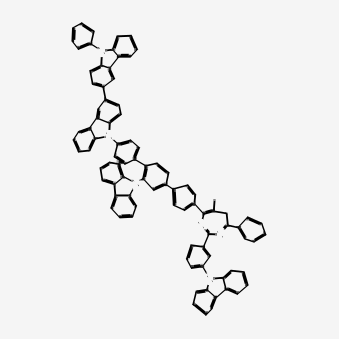 CCC1=C(c2ccc(-c3ccc(-c4ccc(-n5c6ccccc6c6cc(-c7ccc8c(c7)c7ccccc7n8-c7ccccc7)ccc65)cc4)c(-n4c5ccccc5c5ccccc54)c3)cc2)N=C(c2cccc(-n3c4ccccc4c4ccccc43)c2)N=C(c2ccccc2)C1